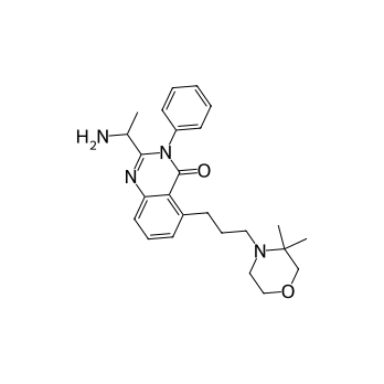 CC(N)c1nc2cccc(CCCN3CCOCC3(C)C)c2c(=O)n1-c1ccccc1